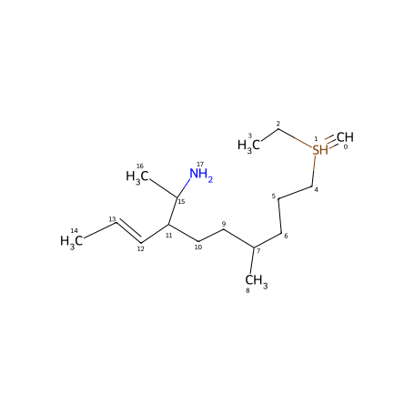 C#[SH](CC)CCCC(C)CCC(C=CC)C(C)N